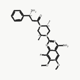 COc1cc2c(N)nc(N3C[C@@H](C)N(C(=O)C[C@@H](N)c4ccccc4)C[C@@H]3C)nc2c(F)c1OC